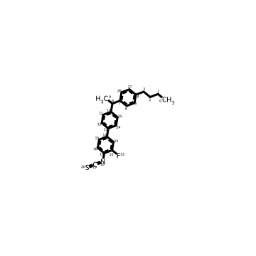 CCCCc1ccc(C(C)c2ccc(-c3ccc(N=C=S)c(F)c3)cc2)cc1